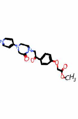 COC(=O)COc1ccc(C(=O)CN2CCN(c3ccncc3)CC2=O)cc1